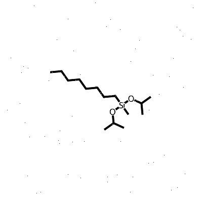 CCCCCCCC[Si](C)(OC(C)C)OC(C)C